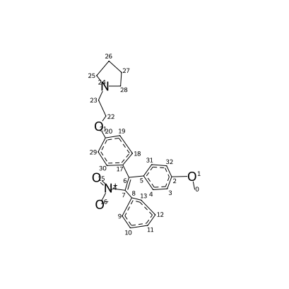 COc1ccc(/C(=C(\c2ccccc2)[N+](=O)[O-])c2ccc(OCCN3CCCC3)cc2)cc1